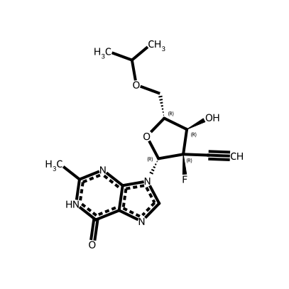 C#C[C@@]1(F)[C@H](O)[C@@H](COC(C)C)O[C@H]1n1cnc2c(=O)[nH]c(C)nc21